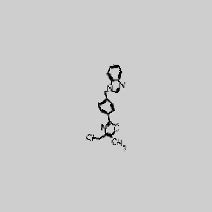 Cc1oc(-c2ccc(Cn3cnc4ccccc43)cc2)nc1CCl